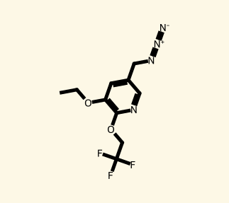 CCOc1cc(CN=[N+]=[N-])cnc1OCC(F)(F)F